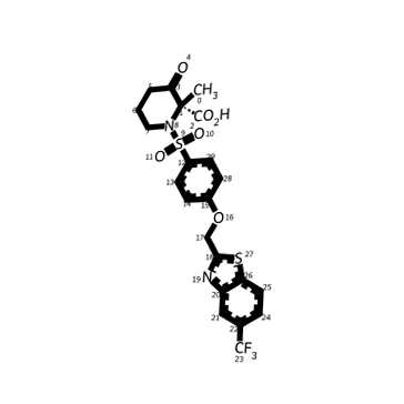 C[C@]1(C(=O)O)C(=O)CCCN1S(=O)(=O)c1ccc(OCc2nc3cc(C(F)(F)F)ccc3s2)cc1